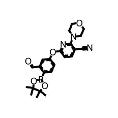 CC1(C)OB(c2ccc(Oc3ccc(C#N)c(N4CCOCC4)n3)cc2C=O)OC1(C)C